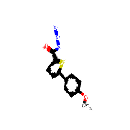 [N-]=[N+]=NC(=O)c1ccc(-c2ccc(OC(F)(F)F)cc2)s1